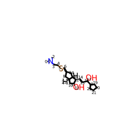 CN(C)CCS/C=C1\C[C@H]2C[C@@H](O)[C@H](/C=C/[C@@H](O)C3CCCC3)[C@H]2C1